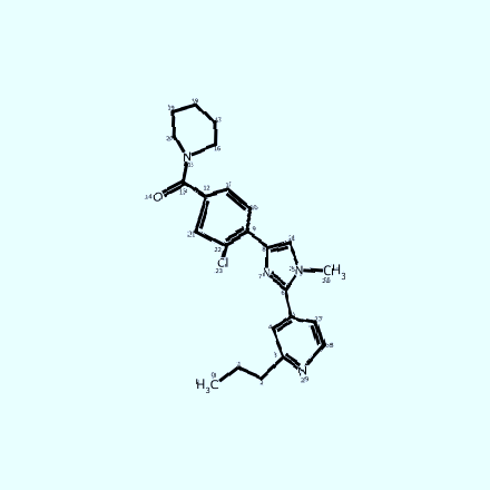 CCCc1cc(-c2nc(-c3ccc(C(=O)N4CCCCC4)cc3Cl)cn2C)ccn1